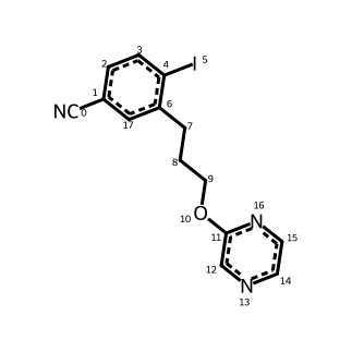 N#Cc1ccc(I)c(CCCOc2cnccn2)c1